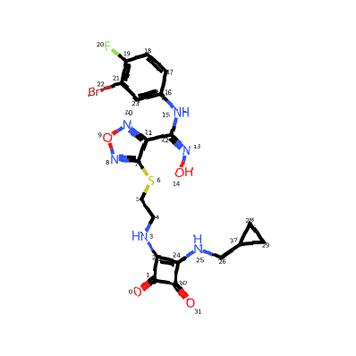 O=c1c(NCCSc2nonc2/C(=N\O)Nc2ccc(F)c(Br)c2)c(NCC2CC2)c1=O